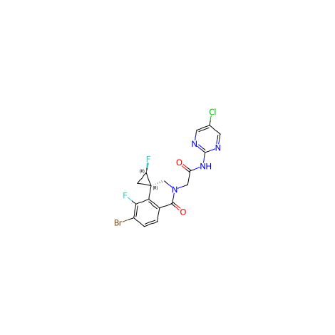 O=C(CN1C[C@@]2(C[C@H]2F)c2c(ccc(Br)c2F)C1=O)Nc1ncc(Cl)cn1